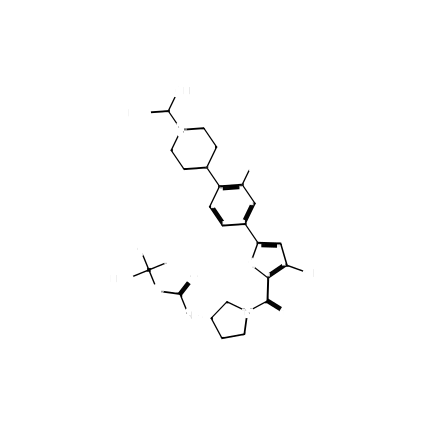 CC(C)N1CCC(c2ccc(-c3cc(Cl)c(C(=O)N4CC[C@H](NC(=O)OC(C)(C)C)C4)s3)cc2F)CC1